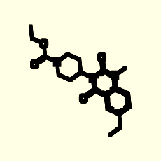 CCOC(=O)N1CCC(n2c(=O)c3cc(CC)ccc3n(C)c2=O)CC1